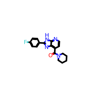 O=C(c1ccnc2[nH]c(-c3ccc(F)cc3)nc12)N1CCCCC1